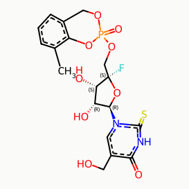 Cc1cccc2c1OP(=O)(OC[C@@]1(F)O[C@@H](n3cc(CO)c(=O)[nH]c3=S)[C@H](O)[C@@H]1O)OC2